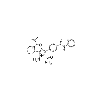 C=C(C)C(=O)N1CCCCC1c1nc(-c2ccc(C(=O)Nc3ccccn3)cc2)c(C(N)=O)n1N